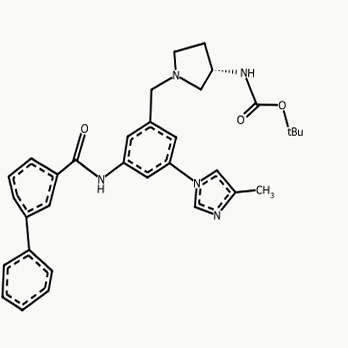 Cc1cn(-c2cc(CN3CC[C@H](NC(=O)OC(C)(C)C)C3)cc(NC(=O)c3cccc(-c4ccccc4)c3)c2)cn1